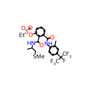 CCS(=O)(=O)Oc1cccc(C(=O)Nc2ccc(C(F)(C(F)(F)F)C(F)(F)F)cc2C)c1C(=O)NC(C)CSC